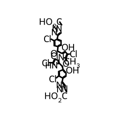 Cc1c(Cl)cc(C(=O)c2cc(Cl)c(-c3cn(CC(=O)O)nn3)cc2O)n1-c1c(C(=O)c2cc(Cl)c(-c3cn(CC(=O)O)nn3)cc2O)[nH]c(Cl)c1Cl